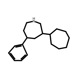 c1ccc(C2CCNCC(C3CCCCCC3)C2)cc1